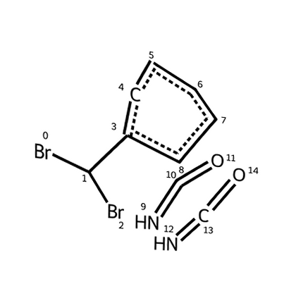 BrC(Br)c1ccccc1.N=C=O.N=C=O